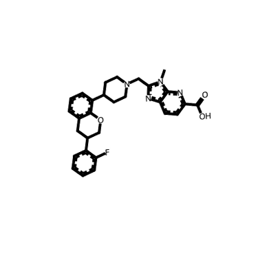 Cn1c(CN2CCC(c3cccc4c3OCC(c3ccccc3F)C4)CC2)nc2ccc(C(=O)O)nc21